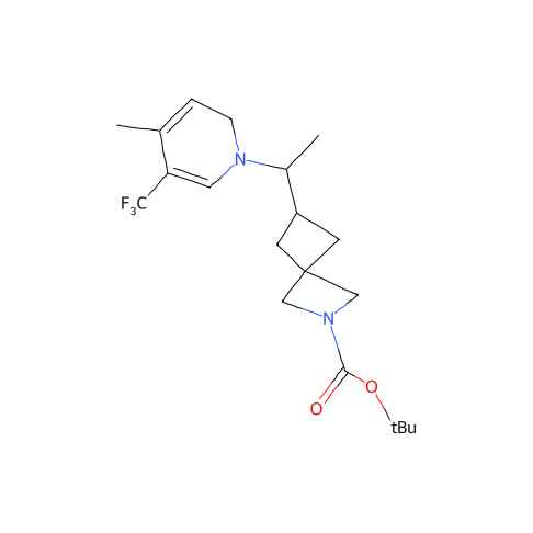 CC1=CCN(C(C)C2CC3(C2)CN(C(=O)OC(C)(C)C)C3)C=C1C(F)(F)F